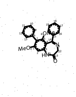 COc1cc2c(c(OC)c1-c1ccccc1)C(c1ccccc1)=NCC(=O)N2